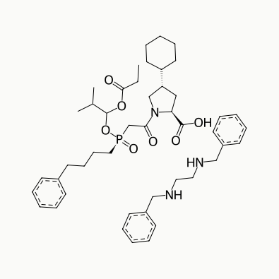 CCC(=O)OC(O[P@](=O)(CCCCc1ccccc1)CC(=O)N1C[C@H](C2CCCCC2)C[C@H]1C(=O)O)C(C)C.c1ccc(CNCCNCc2ccccc2)cc1